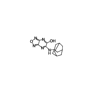 Oc1nc2nonc2nc1NC12CC3CC(CC(C3)C1)C2